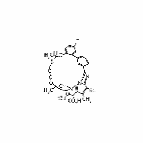 CC(=O)c1c(C)c([C@H](OC(C)(C)C)C(=O)O)c2n3cc(nc13)-c1cccc(c1)-c1cc(F)ccc1O[C@@H](C)CCCCOC1(C)CCN2CC1